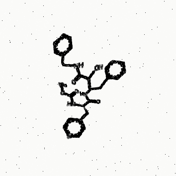 CC(C)(C)OC(=O)N[C@@H](Cc1ccncc1)C(=O)NC(Cc1ccccc1)C(O)C(=O)NCc1ccccc1